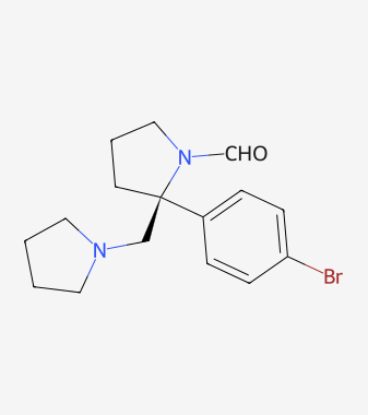 O=CN1CCC[C@@]1(CN1CCCC1)c1ccc(Br)cc1